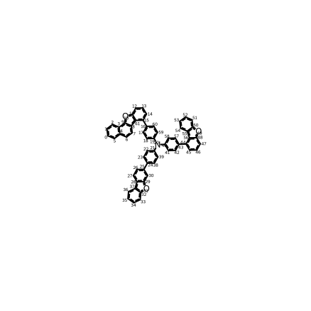 c1ccc2c(c1)ccc1c2oc2cccc(-c3ccc(N(c4ccc(-c5ccc6c(c5)oc5ccccc56)cc4)c4ccc(-c5cccc6oc7ccccc7c56)cc4)cc3)c21